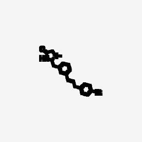 CCc1ccc(C/C=C/c2cccc(CC3NC(=O)CN3C)c2)cc1